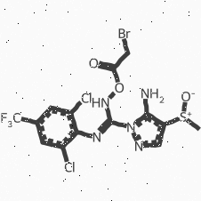 C[S+]([O-])c1cnn(C(=Nc2c(Cl)cc(C(F)(F)F)cc2Cl)NOC(=O)CBr)c1N